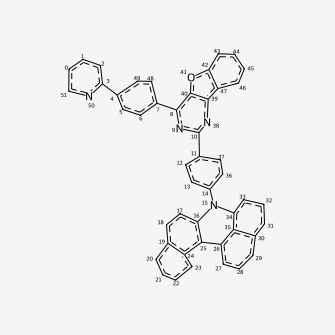 c1ccc(-c2ccc(-c3nc(-c4ccc(N5c6ccc7ccccc7c6-c6cccc7cccc5c67)cc4)nc4c3oc3ccccc34)cc2)nc1